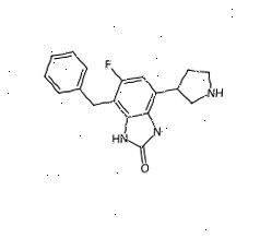 O=C1[N]c2c(C3CCNC3)cc(F)c(Cc3ccccc3)c2N1